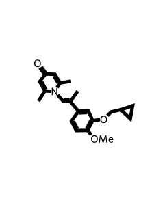 COc1ccc(C(C)=Cn2c(C)cc(=O)cc2C)cc1OCC1CC1